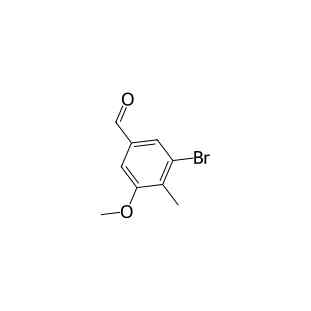 COc1cc(C=O)cc(Br)c1C